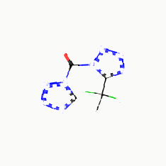 O=C(n1cnnn1)n1nnnc1C(Cl)(Cl)C(Cl)(Cl)Cl